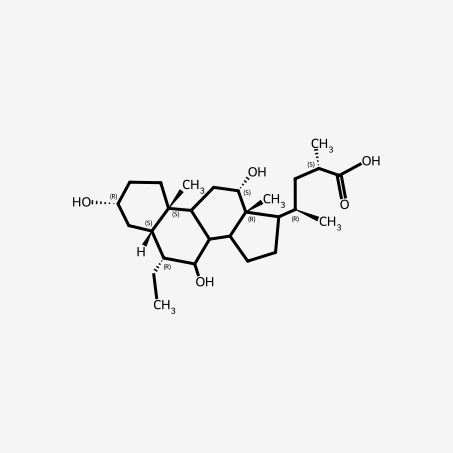 CC[C@H]1C(O)C2C3CCC([C@H](C)C[C@H](C)C(=O)O)[C@@]3(C)[C@@H](O)CC2[C@@]2(C)CC[C@@H](O)C[C@@H]12